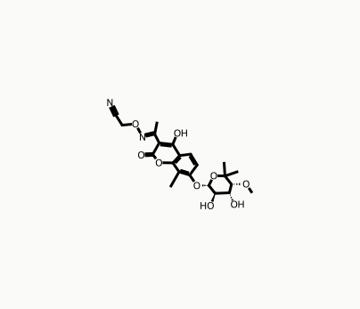 CO[C@@H]1[C@H](O)[C@@H](O)[C@H](Oc2ccc3c(O)c(C(C)=NOCC#N)c(=O)oc3c2C)OC1(C)C